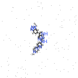 CCn1nnc2ccc(-c3c[nH]c4nc(Nc5ccc(N6CCN(C)CC6)nc5)ncc34)cc21